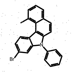 Cc1cccc2ccc3c(c4ccc(Br)cc4n3-c3ccccc3)c12